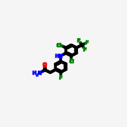 NC(=O)Cc1cc(Nc2c(Cl)cc(C(F)(F)F)cc2Cl)ccc1F